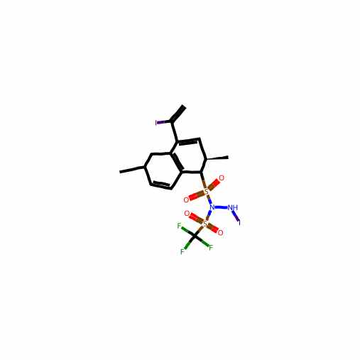 C=C(I)C1=C[C@@H](C)C(S(=O)(=O)N(NI)S(=O)(=O)C(F)(F)F)C2=C1CC(C)C=C2